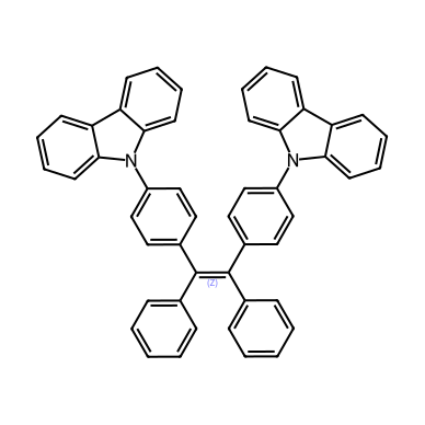 c1ccc(/C(=C(\c2ccccc2)c2ccc(-n3c4ccccc4c4ccccc43)cc2)c2ccc(-n3c4ccccc4c4ccccc43)cc2)cc1